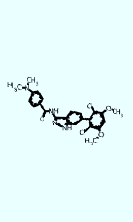 COc1cc(OC)c(Cl)c(-c2ccc3c(NC(=O)c4ccc(N(C)C)cc4)n[nH]c3c2)c1Cl